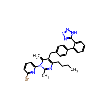 C=C1C(Cc2ccc(-c3ccccc3-c3nnn[nH]3)cc2)=C(CCCC)N=C(C)N1c1cccc(Br)n1